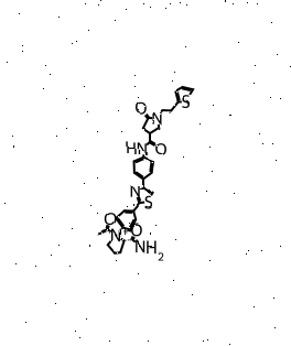 CC(=O)[N+]1(c2ccc(-c3nc(-c4ccc(NC(=O)C5CC(=O)N(CCc6cccs6)C5)cc4)cs3)cc2)CCC[C@H]1C(N)=O